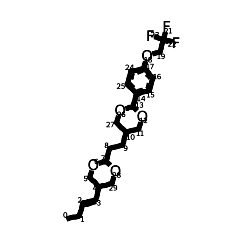 CCC=CC1COC(CCC2COC(c3ccc(OCC(F)(F)F)cc3)OC2)OC1